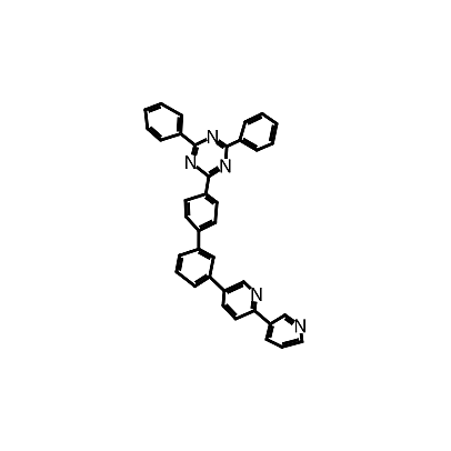 c1ccc(-c2nc(-c3ccccc3)nc(-c3ccc(-c4cccc(-c5ccc(-c6cccnc6)nc5)c4)cc3)n2)cc1